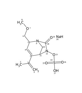 C=C(C)C1=CC(COC)N2CC1N(OS(=O)(=O)O)C2=O.[NaH]